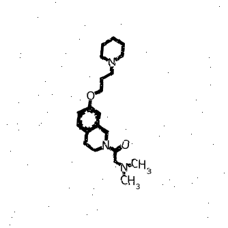 CN(C)CC(=O)N1CCc2ccc(OCCCN3CCCCC3)cc2C1